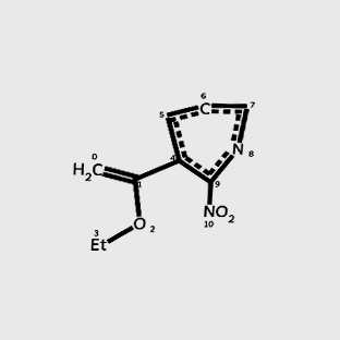 C=C(OCC)c1cccnc1[N+](=O)[O-]